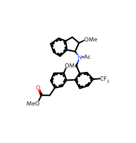 COC(=O)Cc1ccc(OC)c(-c2ccc(C(F)(F)F)cc2CN(C(C)=O)C2c3ccccc3CC2OC)c1